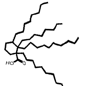 CCCCCCCCCCC1(C(=O)O)CCCC(CCCCCCCC)C1(CCCCCCCC)CCCCCCCCCC